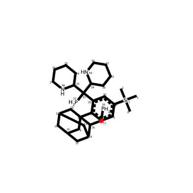 C[Si](C)(C)c1ccc(C23CC4CC(CC(C4)C2CP)C3)c(C(P)(C2CCCCN2)C2CCCCN2)c1